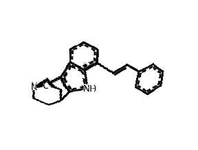 C(=Cc1cccc2c3c([nH]c12)C1CCN(CC1)C3)c1ccccc1